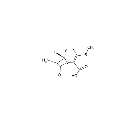 CSC1=C(C(=O)O)N2C(=O)C(N)[C@@H]2SC1